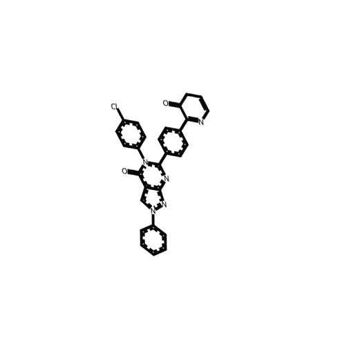 O=C1CC=CN=C1c1ccc(-c2nc3nn(-c4ccccc4)cc3c(=O)n2-c2ccc(Cl)cc2)cc1